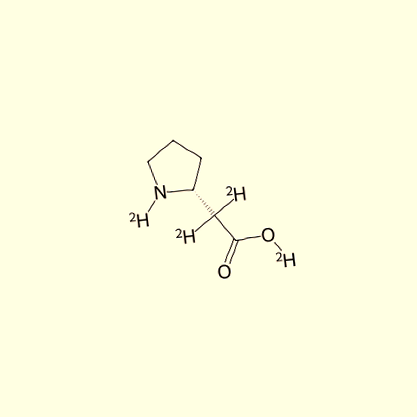 [2H]OC(=O)C([2H])([2H])[C@H]1CCCN1[2H]